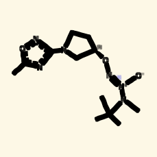 Cc1nc(N2CC[C@@H](O/N=[N+](\[O-])N(C)C(C)(C)C)C2)no1